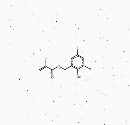 C=C(Cl)C(=O)OCc1cc(I)cc(I)c1O